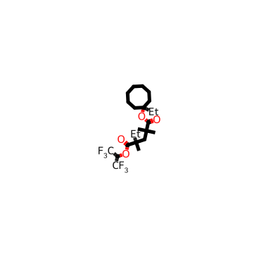 CCC1(OC(=O)C(C)(C)CC(C)(CC)C(=O)OC(C(F)(F)F)C(F)(F)F)CCCCCCC1